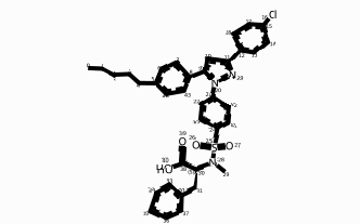 CCCCCc1ccc(-c2cc(-c3ccc(Cl)cc3)nn2-c2ccc(S(=O)(=O)N(C)[C@@H](Cc3ccccc3)C(=O)O)cc2)cc1